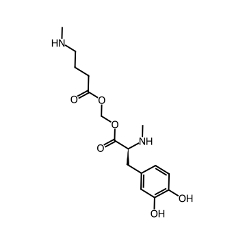 CNCCCC(=O)OCOC(=O)[C@H](Cc1ccc(O)c(O)c1)NC